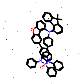 CC1(C)c2ccccc2-c2c(N(c3ccc(-c4ccccc4)cc3)c3cccc4oc5ccc(-c6ccc7c(c6)N(c6ccccc6)P(=O)(c6ccccc6)N7c6ccccc6)cc5c34)cccc21